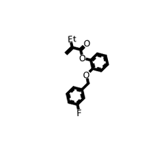 C=C(CC)C(=O)Oc1ccccc1OCc1cccc(F)c1